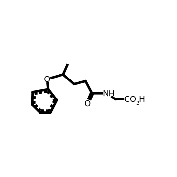 CC(CCC(=O)NCC(=O)O)Oc1ccccc1